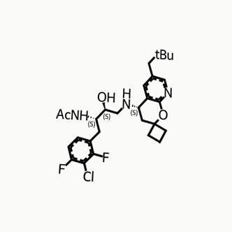 CC(=O)N[C@@H](Cc1ccc(F)c(Cl)c1F)[C@@H](O)CN[C@H]1CC2(CCC2)Oc2ncc(CC(C)(C)C)cc21